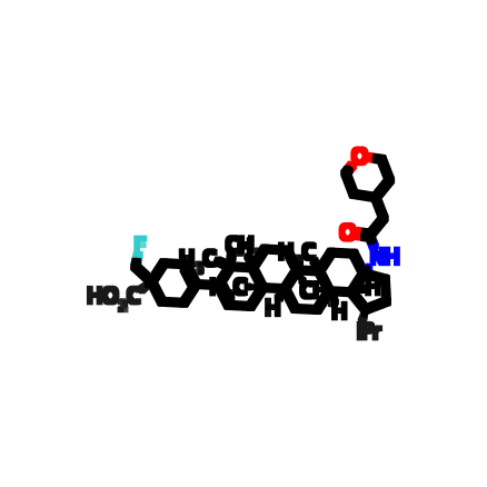 CC(C)[C@@H]1CC[C@]2(NC(=O)CC3CCOCC3)CC[C@]3(C)[C@H](CC[C@@H]4[C@@]5(C)CC=C(C6=CC[C@](CF)(C(=O)O)CC6)C(C)(C)[C@@H]5CC[C@]43C)[C@@H]12